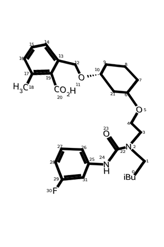 CCC(C)CN(CCOC1CCC[C@@H](OCc2cccc(C)c2C(=O)O)C1)C(=O)Nc1cccc(F)c1